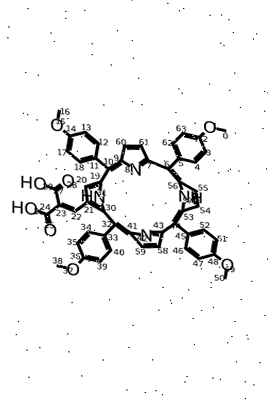 COc1ccc(-c2c3nc(c(-c4ccc(OC)cc4)c4cc(C=C(C(=O)O)C(=O)O)c([nH]4)c(-c4ccc(OC)cc4)c4nc(c(-c5ccc(OC)cc5)c5ccc2[nH]5)C=C4)C=C3)cc1